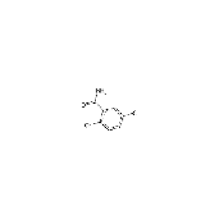 NC(=O)c1cc(Cl)ccc1Cl